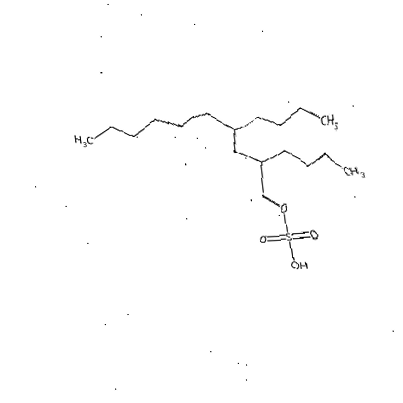 CCCCCCC(CCCC)CC(CCCC)COS(=O)(=O)O